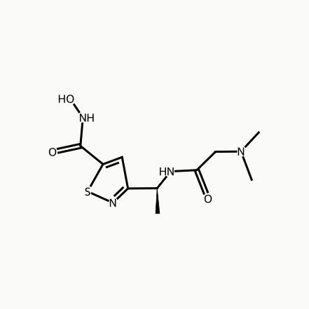 C[C@H](NC(=O)CN(C)C)c1cc(C(=O)NO)sn1